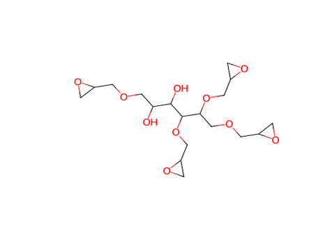 OC(COCC1CO1)C(O)C(OCC1CO1)C(COCC1CO1)OCC1CO1